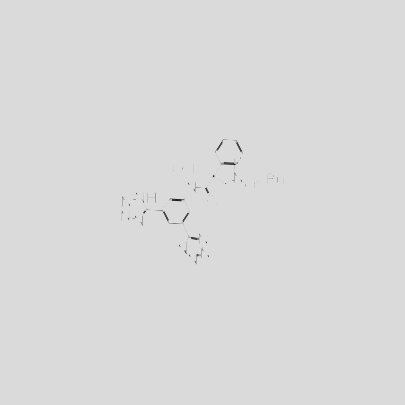 CC(C)(C)ONCC(C=O)(C(=O)Nc1cc(-c2nnn[nH]2)cc(-c2nnn[nH]2)c1)c1ccccc1